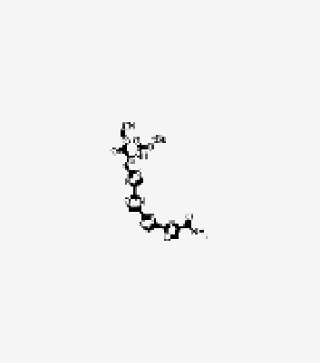 CC(C)(C)OC(=O)N[C@@H](Cc1nc(-c2nc(-c3nc(-c4nc(C(N)=O)co4)cs3)co2)cs1)C(=O)OCC#N